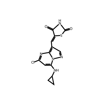 O=C1NC(=O)C(=Cc2cnn3c(NC4CC4)cc(Cl)nc23)S1